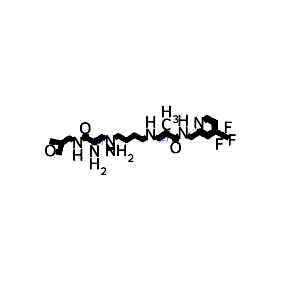 C/C(=C\NCCCCN(N)/C=C(\N)C(=O)NCC1COC1)C(=O)NCc1cc(C(F)(F)F)ccn1